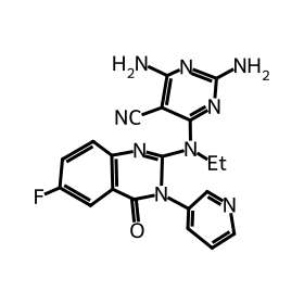 CCN(c1nc(N)nc(N)c1C#N)c1nc2ccc(F)cc2c(=O)n1-c1cccnc1